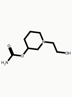 NC(=O)OC1CCCN(CCO)C1